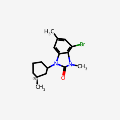 Cc1cc(Br)c2c(c1)n(C1CCC[C@H](C)C1)c(=O)n2C